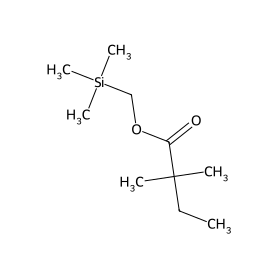 CCC(C)(C)C(=O)OC[Si](C)(C)C